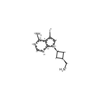 NC[C@H]1C[C@@H](n2cc(I)c3c(N)ncnc32)C1